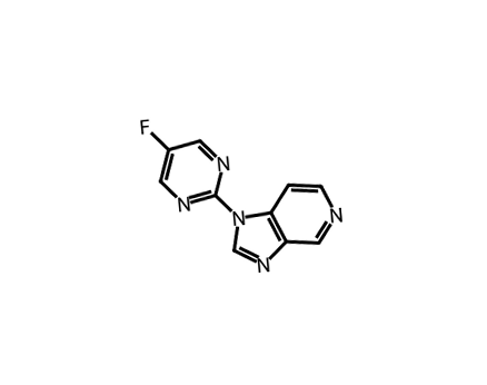 Fc1cnc(-n2cnc3cnccc32)nc1